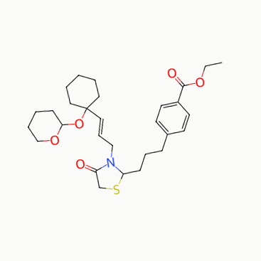 CCOC(=O)c1ccc(CCCC2SCC(=O)N2CC=CC2(OC3CCCCO3)CCCCC2)cc1